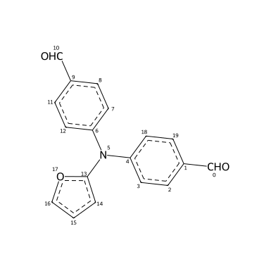 O=Cc1ccc(N(c2ccc(C=O)cc2)c2ccco2)cc1